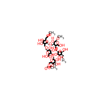 CC[C@H]1C(O)C(O)[C@H](COC[C@@H]2C(CO)O[C@@H](COC)C(O)[C@@H]2COC[C@H]2OC(CCOOC)[C@@H](O)[C@@H](O)C2COC[C@@H]2OC(C(=O)O)[C@@H](COC[C@@H]3OC4COC(C)(OC=O)O[C@H]4[C@@H](O)C3O)[C@@H](O)C2O)O[C@H]1CO